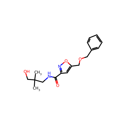 CC(C)(CO)CNC(=O)c1cc(COCc2ccccc2)on1